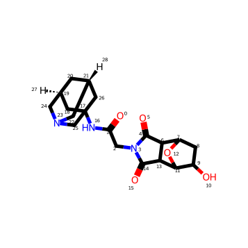 O=C(CN1C(=O)C2C3CC(O)C(O3)C2C1=O)NC12C[C@@H]3C[C@@H](CN(C3)C1)C2